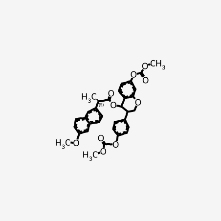 COC(=O)Oc1ccc(C2COc3cc(OC(=O)OC)ccc3C2OC(=O)[C@@H](C)c2ccc3cc(OC)ccc3c2)cc1